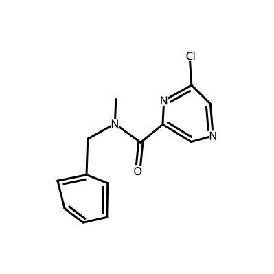 CN(Cc1ccccc1)C(=O)c1cncc(Cl)n1